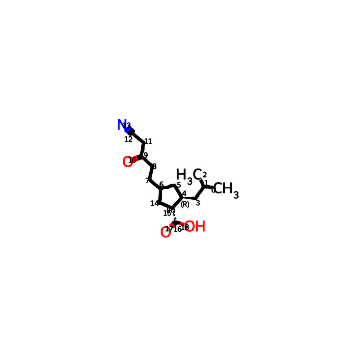 CC(C)C[C@@H]1CC(CCC(=O)CC#N)C[C@H]1C(=O)O